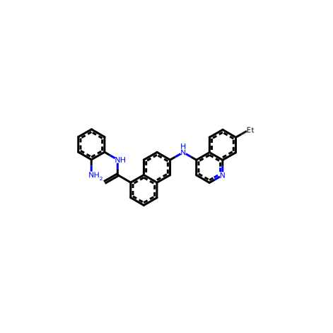 C=C(Nc1ccccc1N)c1cccc2cc(Nc3ccnc4cc(CC)ccc34)ccc12